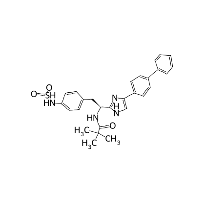 CC(C)(C)C(=O)N[C@@H](Cc1ccc(N[SH](=O)=O)cc1)c1nc(-c2ccc(-c3ccccc3)cc2)c[nH]1